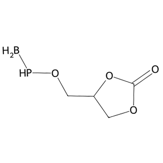 BPOCC1COC(=O)O1